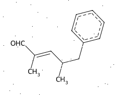 C/C(C=O)=C\C(C)Cc1ccccc1